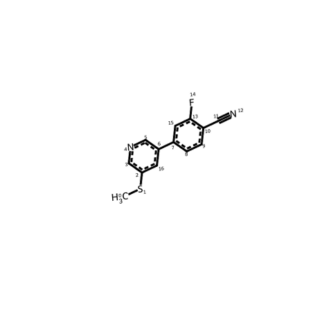 CSc1cncc(-c2ccc(C#N)c(F)c2)c1